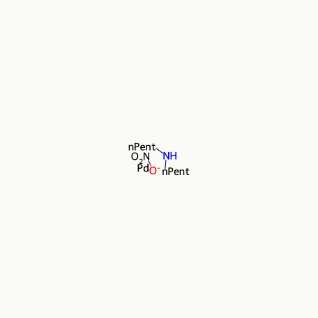 CCCCCNCCCCC.O=[N+]([O-])[O-].[Pd]